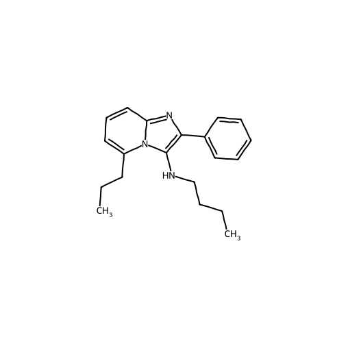 CCCCNc1c(-c2ccccc2)nc2cccc(CCC)n12